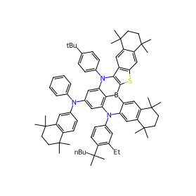 CCCCC(C)(C)c1ccc(N2c3cc4c(cc3B3c5sc6cc7c(cc6c5N(c5ccc(C(C)(C)C)cc5)c5cc(N(c6ccccc6)c6ccc8c(c6)C(C)(C)CCC8(C)C)cc2c53)C(C)(C)CCC7(C)C)C(C)(C)CCC4(C)C)cc1CC